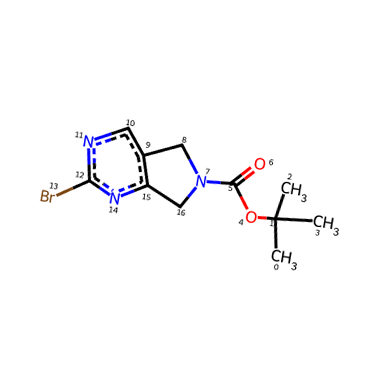 CC(C)(C)OC(=O)N1Cc2cnc(Br)nc2C1